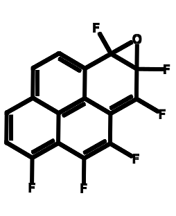 FC1=c2c(F)c(F)c3c(F)ccc4ccc(c2c43)C2(F)OC12F